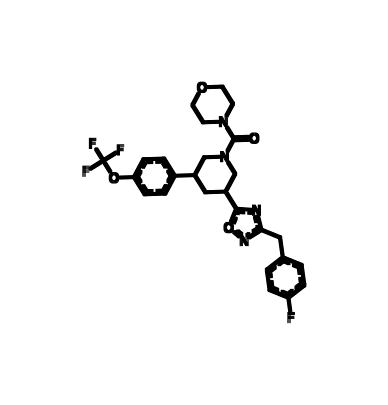 O=C(N1CCOCC1)N1CC(c2ccc(OC(F)(F)F)cc2)CC(c2nc(Cc3ccc(F)cc3)no2)C1